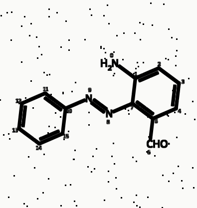 Nc1cccc([C]=O)c1N=Nc1ccccc1